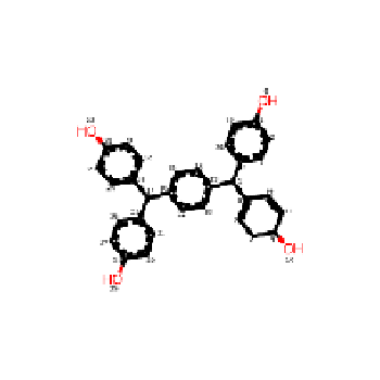 Oc1ccc(C(C2=CCC(O)C=C2)c2ccc(C(c3ccc(O)cc3)c3ccc(O)cc3)cc2)cc1